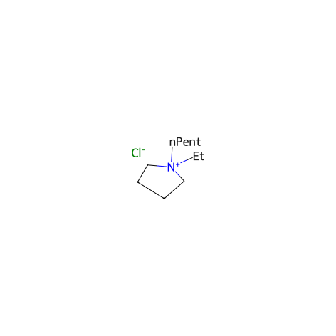 CCCCC[N+]1(CC)CCCC1.[Cl-]